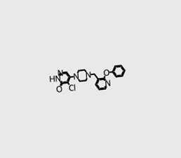 O=c1[nH]ncc(N2CCN(Cc3cccnc3Oc3ccccc3)CC2)c1Cl